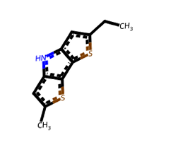 CCc1cc2[nH]c3cc(C)sc3c2s1